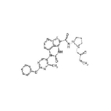 C=CC(=O)C[C@H]1CCC[C@H]1NC(=O)c1sc2nccc3c2c1NC(=O)N3c1cnc(Oc2ccccc2)nc1C